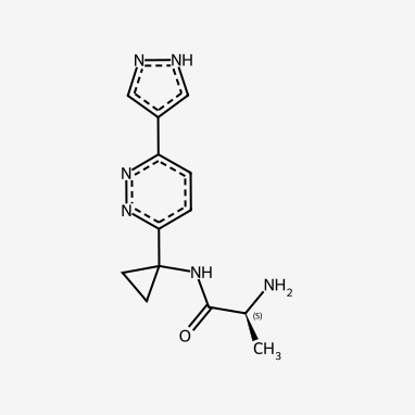 C[C@H](N)C(=O)NC1(c2ccc(-c3cn[nH]c3)nn2)CC1